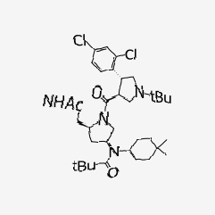 CC(=O)NC[C@@H]1C[C@H](N(C(=O)C(C)(C)C)C2CCC(C)(C)CC2)CN1C(=O)[C@@H]1CN(C(C)(C)C)C[C@H]1c1ccc(Cl)cc1Cl